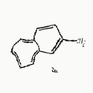 [CH2]c1ccc2ccccc2c1.[Zn]